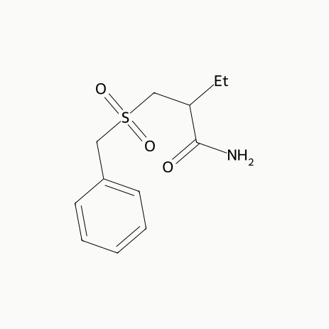 CCC(CS(=O)(=O)Cc1ccccc1)C(N)=O